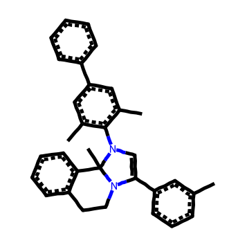 Cc1cccc(C2=CN(c3c(C)cc(-c4ccccc4)cc3C)C3(C)c4ccccc4CCN23)c1